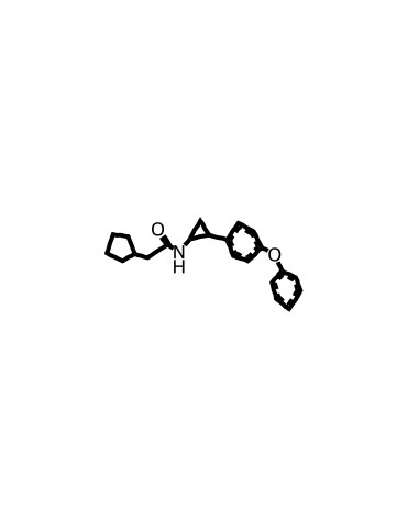 O=C(CC1CCCC1)NC1CC1c1ccc(Oc2ccccc2)cc1